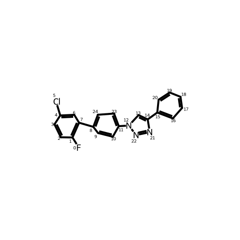 Fc1ccc(Cl)cc1-c1ccc(-n2cc(-c3ccccc3)nn2)cc1